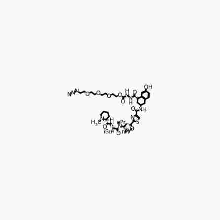 CCCO[C@H](C[C@H](C(C)C)N(CCC)C(=O)[C@@H](NC(=O)[C@H]1CCCCN1C)[C@@H](C)CC)c1nc(C(=O)NC2Cc3ccc(O)cc3[C@H](C(=O)NNC(=O)OCCOCCOCCOCCN=[N+]=[N-])C2)cs1